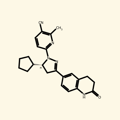 Cc1nc(N2N=C(c3ccc4c(c3)CCC(=O)N4)C[C@@H]2C2CCCC2)ccc1C#N